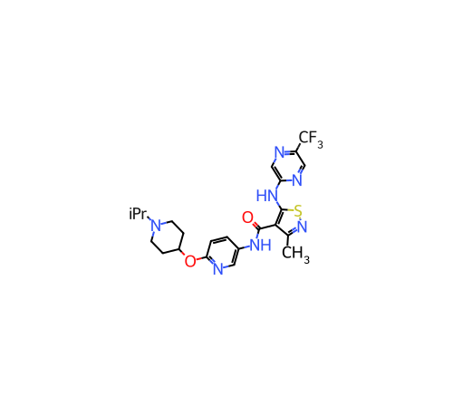 Cc1nsc(Nc2cnc(C(F)(F)F)cn2)c1C(=O)Nc1ccc(OC2CCN(C(C)C)CC2)nc1